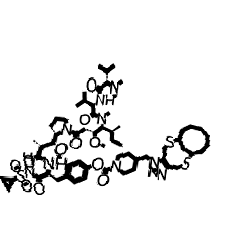 CC[C@H](C)[C@@H]([C@@H](CC(=O)N1CCC[C@H]1[C@H](OC)[C@@H](C)C(=O)N[C@@H](Cc1ccc(OC(=O)N2CCC(Cn3nnc4c3CSC3CCCCCCC(C3)SC4)CC2)cc1)C(=O)NS(=O)(=O)C1CC1)OC)N(C)C(=O)[C@@H](NC(=O)[C@H](C(C)C)N(C)C)C(C)C